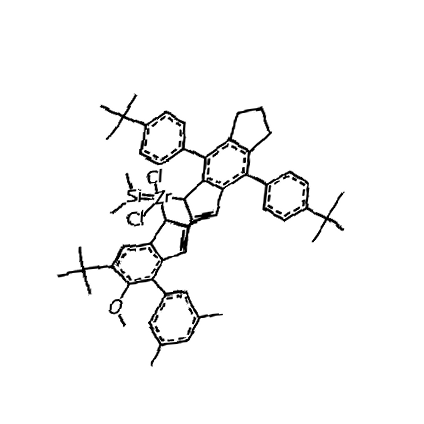 COc1c(C(C)(C)C)cc2c(c1-c1cc(C)cc(C)c1)C=C(C)[CH]2[Zr]([Cl])([Cl])([CH]1C(C)=Cc2c(-c3ccc(C(C)(C)C)cc3)c3c(c(-c4ccc(C(C)(C)C)cc4)c21)CCC3)=[Si](C)C